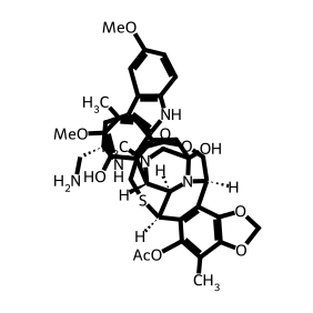 COc1ccc2[nH]c3c(c2c1)C[C@@H](CN)N[C@]31CS[C@@H]2c3c(OC(C)=O)c(C)c4c(c3[C@H](COC1=O)N1[C@@H]2[C@@H]2c3c(cc(C)c(OC)c3O)CC1(O)CN2C)OCO4